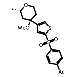 CO[C@]1(c2csc(S(=O)(=O)c3ccc(C(C)=O)cc3)c2)CCO[C@@H](C)C1